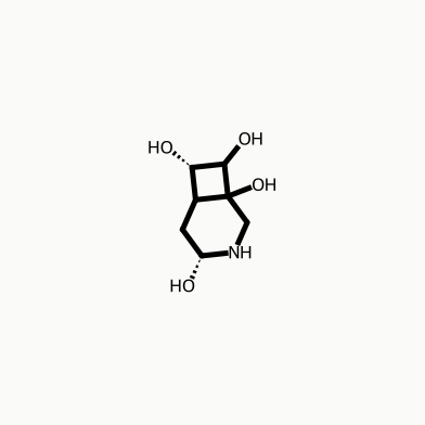 OC1[C@@H](O)C2C[C@@H](O)NCC12O